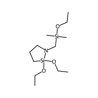 CCO[Si](C)(C)CN1CCC[Si]1(OCC)OCC